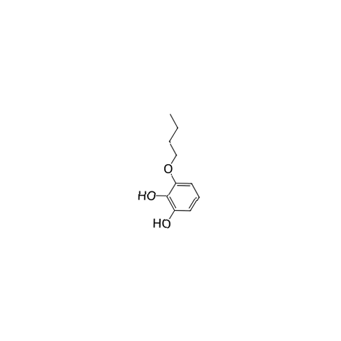 CCCCOc1cccc(O)c1O